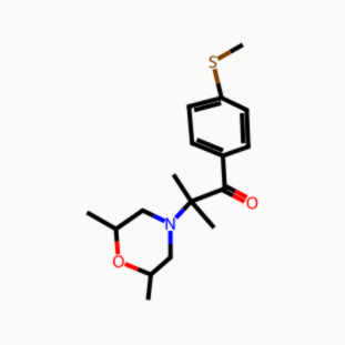 CSc1ccc(C(=O)C(C)(C)N2CC(C)OC(C)C2)cc1